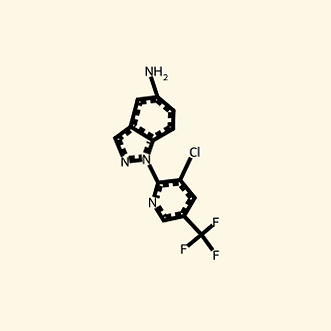 Nc1ccc2c(cnn2-c2ncc(C(F)(F)F)cc2Cl)c1